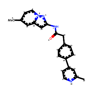 COc1ccn2nc(NC(=O)Cc3ccc(-c4ccnc(C)c4)cc3)cc2c1